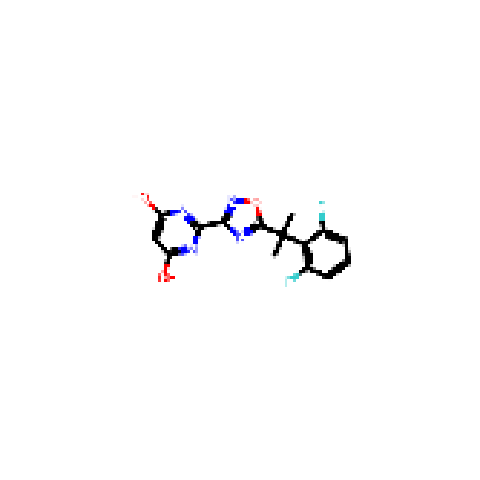 CC(C)(c1nc(-c2nc(O)cc(O)n2)no1)c1c(F)cccc1F